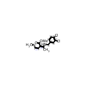 C=N/C=C\C(C(=O)OC)=C(/C)NCc1ccc(Cl)c(Cl)c1